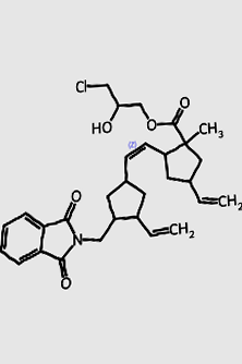 C=CC1CC(/C=C\C2CC(C=C)C(CN3C(=O)c4ccccc4C3=O)C2)C(C)(C(=O)OCC(O)CCl)C1